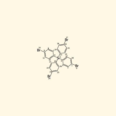 Brc1ccc([Si](c2ccc(Br)cc2)(c2ccc(Br)cc2)c2ccc(Br)cc2)cc1